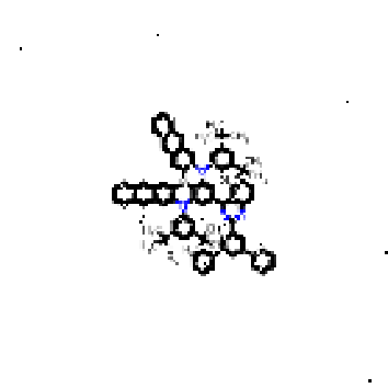 CC(C)(C)c1cc(N2c3cc4cc5ccccc5cc4cc3B3c4cc5cc6ccccc6cc5cc4N(c4cc(C(C)(C)C)cc(C(C)(C)C)c4)c4cc(-c5nc(-c6cc(-c7ccccc7)cc(-c7ccccc7)c6)nc6ccccc56)cc2c43)cc(C(C)(C)C)c1